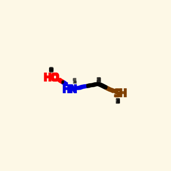 ONCS